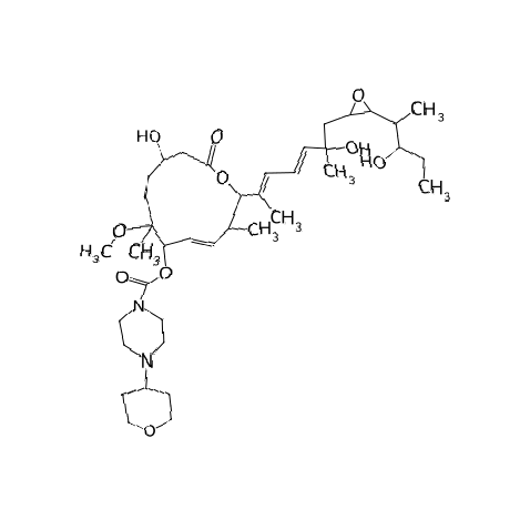 CCC(O)C(C)C1OC1CC(C)(O)/C=C/C=C(\C)C1OC(=O)CC(O)CCC(C)(OC)C(OC(=O)N2CCN(C3CCOCC3)CC2)/C=C/C1C